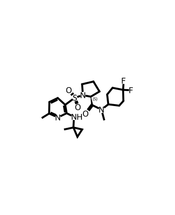 Cc1ccc(S(=O)(=O)N2CCC[C@H]2C(=O)N(C)C2CCC(F)(F)CC2)c(NC2(C)CC2)n1